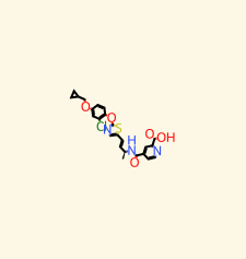 C[C@@H](/C=C/c1cnc(Oc2ccc(OCC3CC3)cc2Cl)s1)NC(=O)c1ccnc(C(=O)O)c1